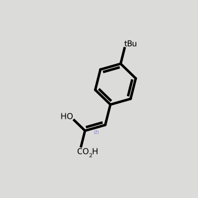 CC(C)(C)c1ccc(/C=C(\O)C(=O)O)cc1